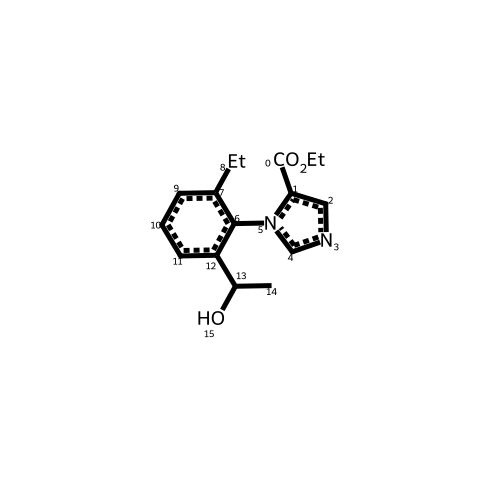 CCOC(=O)c1cncn1-c1c(CC)cccc1C(C)O